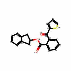 O=C(OC1Cc2ccccc2C1)c1ccccc1C(=O)c1cccs1